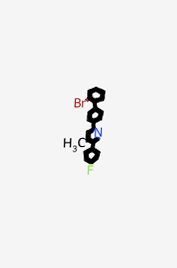 Cc1cc(-c2ccc(-c3ccccc3Br)cc2)ncc1-c1ccc(F)cc1